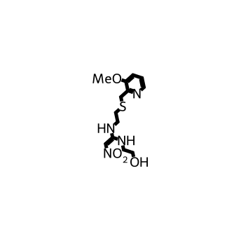 COc1cccnc1CSCCN/C(=C/[N+](=O)[O-])NCCO